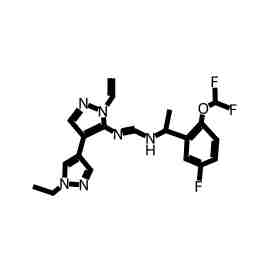 C=Cn1ncc(-c2cnn(CC)c2)c1/N=C/NC(C)c1cc(F)ccc1OC(F)F